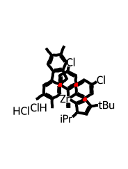 Cl.Cl.[CH2]=[Zr]([C]1=CC(C(C)(C)C)=CC1C(C)C)([c]1ccc(Cl)cc1)([c]1ccc(Cl)cc1)[c]1c(C)c(C)cc2c1Cc1cc(C)c(C)cc1-2